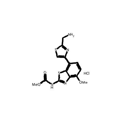 COC(=O)Nc1nc2c(OC)ccc(-c3csc(CN)n3)c2s1.Cl